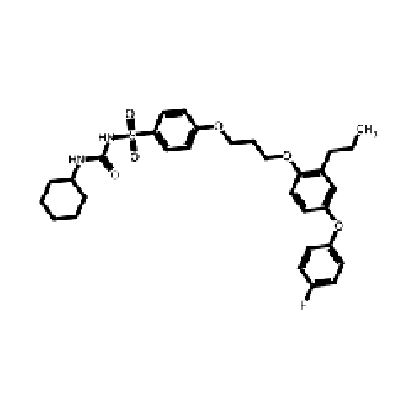 CCCc1cc(Oc2ccc(F)cc2)ccc1OCCCOc1ccc(S(=O)(=O)NC(=O)NC2CCCCC2)cc1